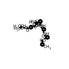 Cc1cccc(C(=O)OCc2ccccc2C(=O)NCc2cccc(CNC(=O)c3ccccc3C(C)(C)C(C)(C)OC(=O)c3ccc(C(=O)OCCOC(C)(C)C)cc3)c2)c1